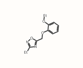 CCOc1ccccc1OCc1nc(CC)no1